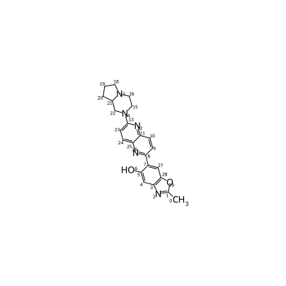 Cc1nc2cc(O)c(-c3ccc4nc(N5CCN6CCCC6C5)ccc4n3)cc2o1